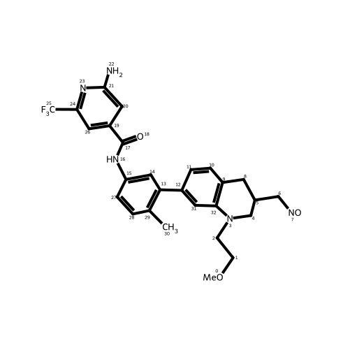 COCCN1CC(CN=O)Cc2ccc(-c3cc(NC(=O)c4cc(N)nc(C(F)(F)F)c4)ccc3C)cc21